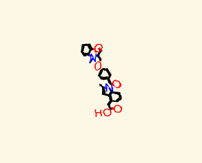 Cc1cc2c(CC(=O)O)cccc2n1C(=O)c1ccc(OCC2COc3ccccc3N2C)cc1